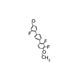 CCOc1ccc(-c2ccc(-c3ccc(C=O)cc3F)cc2)c(F)c1F